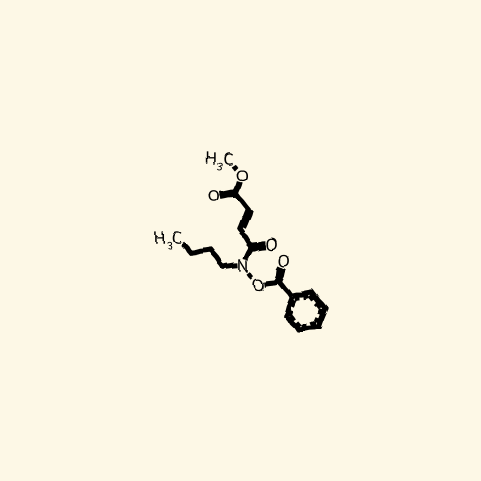 CCCCN(OC(=O)c1ccccc1)C(=O)/C=C/C(=O)OC